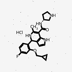 CC1=C(C(=O)N[C@@H]2CCNC2)c2[nH]ccc2C(c2ccc(F)cc2OCC2CC2)N1.Cl